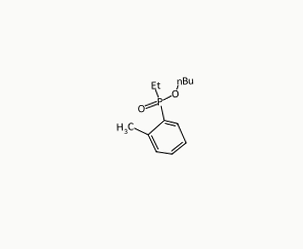 CCCCOP(=O)(CC)c1ccccc1C